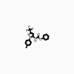 Cc1ccc(-n2nc(C(F)(F)F)cc2NC(=O)Oc2ccccc2)cc1